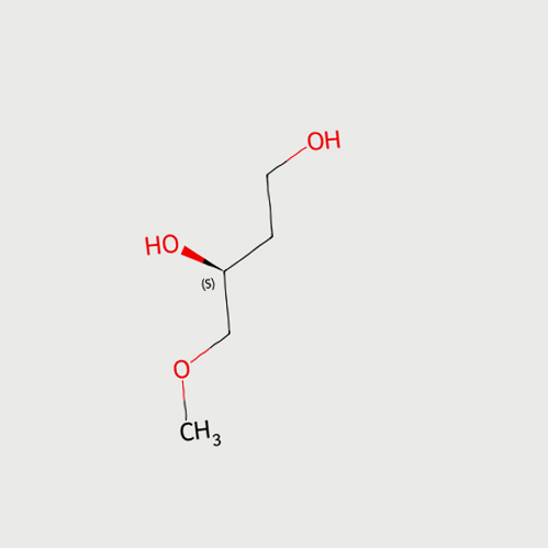 COC[C@@H](O)CCO